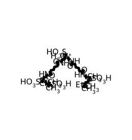 CC[N+](C)(C)CC[N+](C)(CCNC(=O)CCCCC(=O)NCC[N+](C)(CCNC(=O)CCCCC(=O)NCC[N+](C)(CCC(C)(C)CS(=O)(=O)O)CS(=O)(=O)O)CS(=O)(=O)O)CS(=O)(=O)O